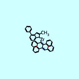 CC1=Cc2c(-c3ccccc3)cccc2[CH]1[Zr]/[C](=C(/C(=C\c1ccccc1)c1ccccc1)c1ccccc1)c1ccccc1